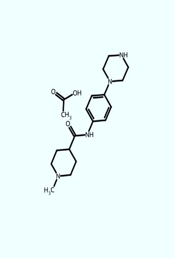 CC(=O)O.CN1CCC(C(=O)Nc2ccc(N3CCNCC3)cc2)CC1